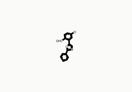 O=Cc1ccc(Cl)cc1-c1cnc(-c2ccccc2)o1